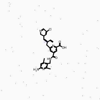 C=C/C(=C\C1C=C(Cl)C=NC1)Cc1cc(C(=O)NCc2c(C)cc(N)nc2C)cc(C(=O)O)n1